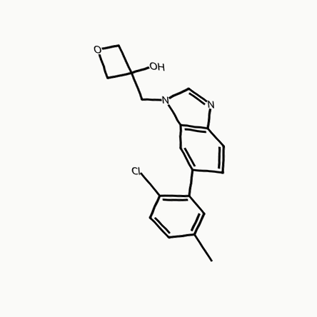 Cc1ccc(Cl)c(-c2ccc3ncn(CC4(O)COC4)c3c2)c1